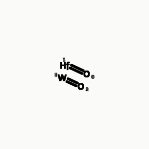 [O]=[Hf].[O]=[W]